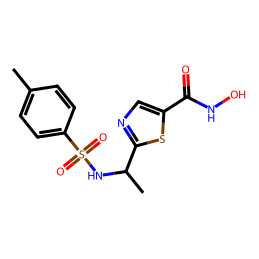 Cc1ccc(S(=O)(=O)NC(C)c2ncc(C(=O)NO)s2)cc1